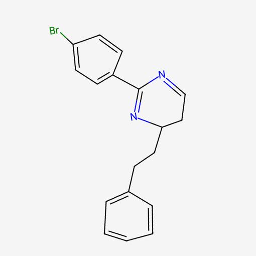 Brc1ccc(C2=NC(CCc3ccccc3)CC=N2)cc1